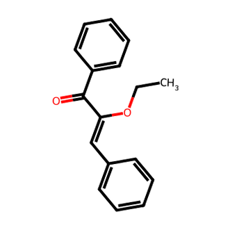 CCOC(=Cc1ccccc1)C(=O)c1ccccc1